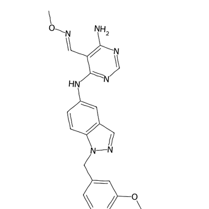 CO/N=C/c1c(N)ncnc1Nc1ccc2c(cnn2Cc2cccc(OC)c2)c1